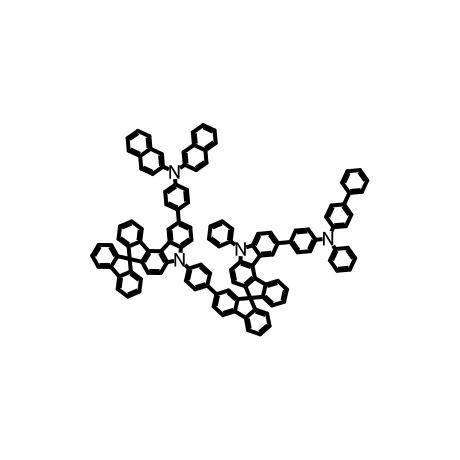 c1ccc(-c2ccc(N(c3ccccc3)c3ccc(-c4ccc5c(c4)c4c6c(ccc4n5-c4ccccc4)C4(c5ccccc5-c5ccc(-c7ccc(-n8c9ccc(-c%10ccc(N(c%11ccc%12ccccc%12c%11)c%11ccc%12ccccc%12c%11)cc%10)cc9c9c%10c(ccc98)C8(c9ccccc9-c9ccccc98)c8ccccc8-%10)cc7)cc54)c4ccccc4-6)cc3)cc2)cc1